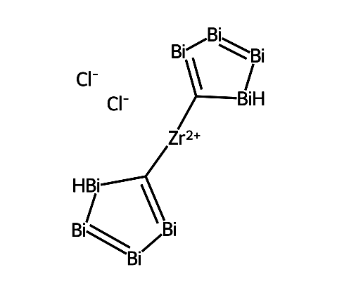 [Cl-].[Cl-].[Zr+2]([C]1=[Bi][Bi]=[Bi][BiH]1)[C]1=[Bi][Bi]=[Bi][BiH]1